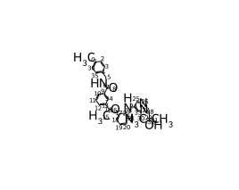 Cc1ccc(CNC(=O)c2cccc(C(C)Oc3cccnc3Nc3cnn(CC(C)(C)O)c3)c2)cc1